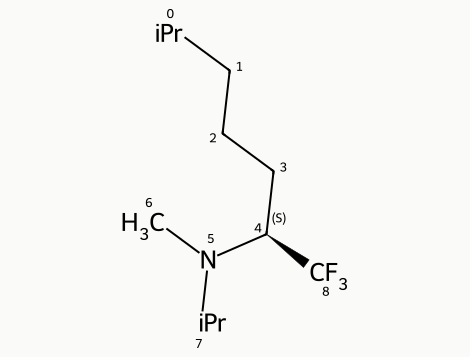 CC(C)CCC[C@H](N(C)C(C)C)C(F)(F)F